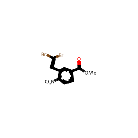 COC(=O)c1ccc([N+](=O)[O-])c(C=C(Br)Br)c1